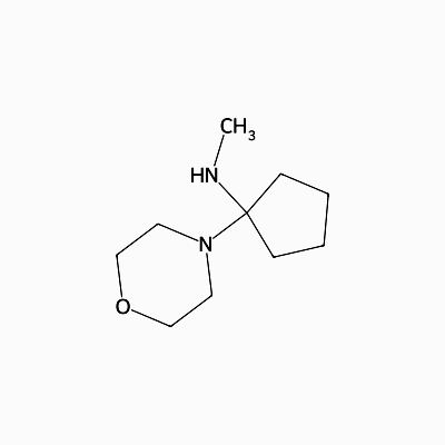 CNC1(N2CCOCC2)CCCC1